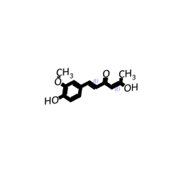 COc1cc(/C=C/C(=O)/C=C(\C)O)ccc1O